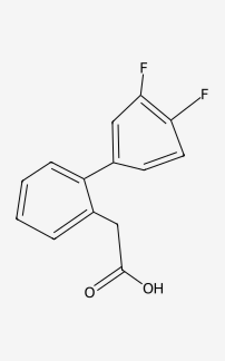 O=C(O)Cc1ccccc1-c1ccc(F)c(F)c1